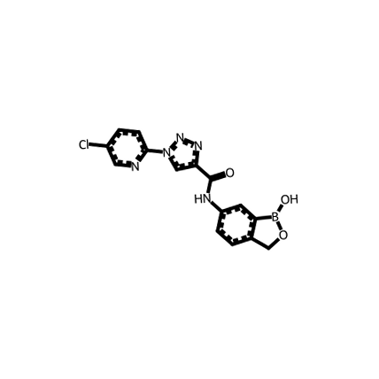 O=C(Nc1ccc2c(c1)B(O)OC2)c1cn(-c2ccc(Cl)cn2)nn1